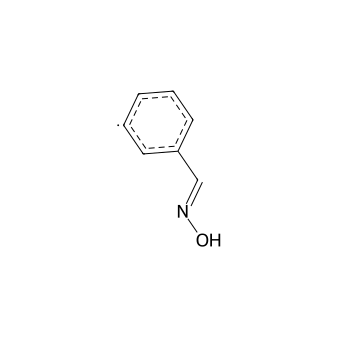 O/N=C/c1c[c]ccc1